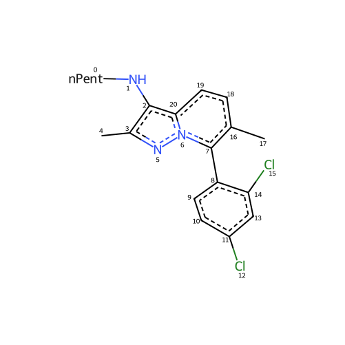 CCCCCNc1c(C)nn2c(-c3ccc(Cl)cc3Cl)c(C)ccc12